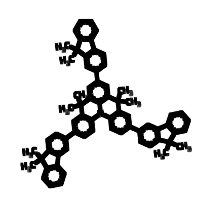 CC1(C)c2ccccc2-c2cc(-c3ccc4c(c3)C(C)(C)c3cc(-c5ccc6c(c5)C(C)(C)c5ccccc5-6)cc5c3N4c3ccc(-c4ccc6c(c4)-c4ccccc4C6(C)C)cc3C5(C)C)ccc21